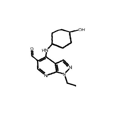 CCn1ncc2c(NC3CCC(O)CC3)c(C=O)cnc21